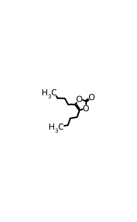 CCCCc1oc(=O)oc1CCCC